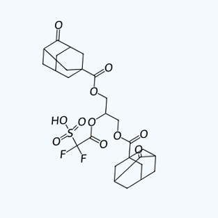 O=C1C2CC3CC1CC(C(=O)OCC(COC(=O)C14CC5CC(C1)C(=O)C(C5)C4)OC(=O)C(F)(F)S(=O)(=O)O)(C3)C2